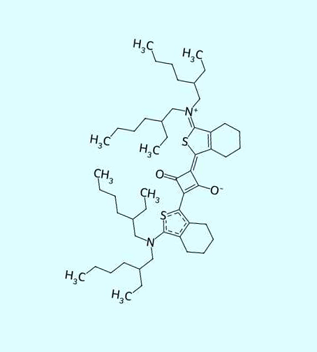 CCCCC(CC)CN(CC(CC)CCCC)c1sc(C2=C([O-])/C(=C3/SC(=[N+](CC(CC)CCCC)CC(CC)CCCC)C4=C3CCCC4)C2=O)c2c1CCCC2